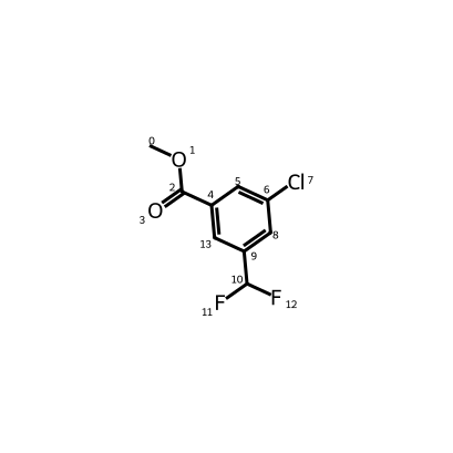 COC(=O)c1cc(Cl)cc(C(F)F)c1